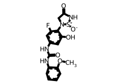 COc1ccccc1NC(=O)Nc1cc(O)c(N2CC(=O)N[S+]2[O-])c(F)c1